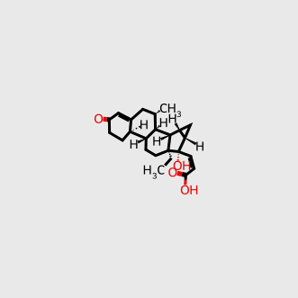 CC[C@]12CC[C@H]3[C@H]([C@@H]1[C@@H]1C[C@@H]1[C@@]2(O)/C=C\C(=O)O)[C@@H](C)CC1=CC(=O)CC[C@@H]13